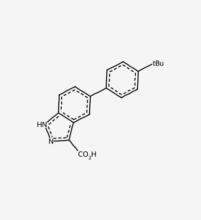 CC(C)(C)c1ccc(-c2ccc3[nH]nc(C(=O)O)c3c2)cc1